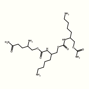 NCCCCC(COC(N)=O)NC(=O)OCC(CCCCN)NC(=O)OCC(N)CCC(N)=O